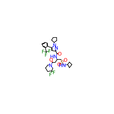 O=C(NC(CC(=O)N1CCCC(F)(F)C1)CS(=O)(=O)NC1CCC1)c1cc(-c2ccccc2C(F)(F)F)n(C2CCCC2)n1